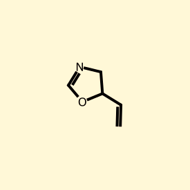 C=CC1CN=CO1